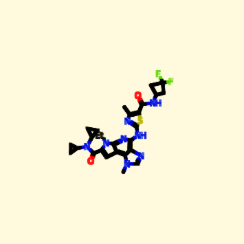 CCn1c(C(=O)N(C2CC2)C2CC2)cc2c3c(ncn3C)c(Nc3nc(C)c(C(=O)NC4CC(F)(F)C4)s3)nc21